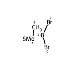 Br[B]Br.CSC